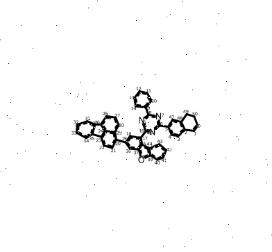 C1=Cc2ccc(-c3nc(-c4ccccc4)nc(-c4cc(-c5ccc6c7c(cccc57)-c5ccccc5-6)cc5oc6ccccc6c45)n3)cc2CC1